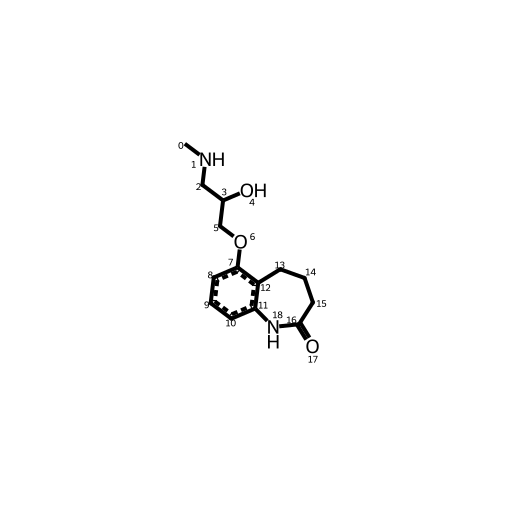 CNCC(O)COc1cccc2c1CCCC(=O)N2